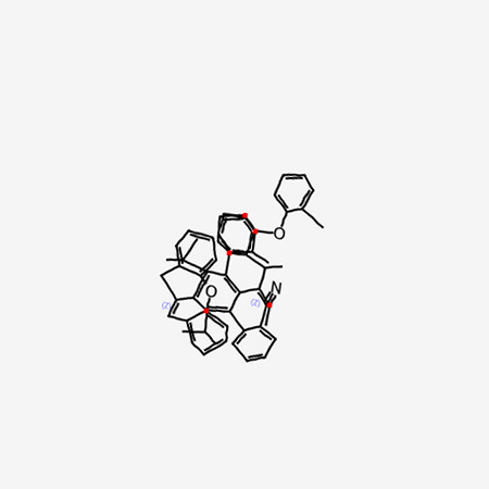 C/C=C(\c1c(-c2ccccc2C)c(C(C)C)c(/C2=C\c3ccccc3Oc3ccccc3C2)c(C(C)C)c1-c1ccccc1C#N)C(C)c1ccccc1Oc1ccccc1C